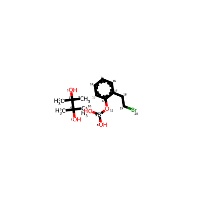 CC(C)(O)C(C)(C)O.OB(O)Oc1ccccc1CCBr